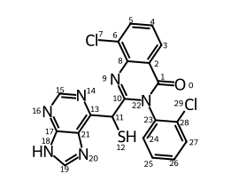 O=c1c2cccc(Cl)c2nc(C(S)c2ncnc3[nH]cnc23)n1-c1ccccc1Cl